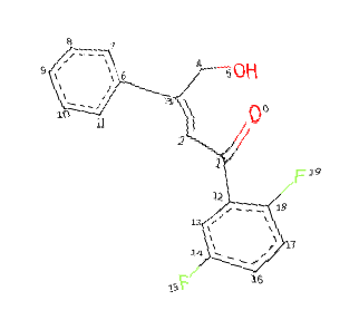 O=C(/C=C(\CO)c1ccccc1)c1cc(F)ccc1F